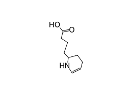 O=C(O)CCCC1CCC=CN1